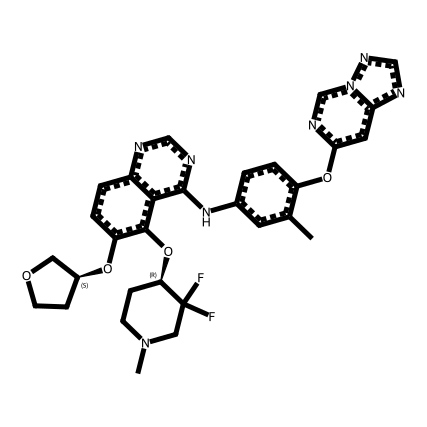 Cc1cc(Nc2ncnc3ccc(O[C@H]4CCOC4)c(O[C@@H]4CCN(C)CC4(F)F)c23)ccc1Oc1cc2ncnn2cn1